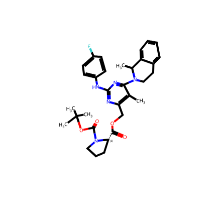 Cc1c(COC(=O)[C@@H]2CCCN2C(=O)OC(C)(C)C)nc(Nc2ccc(F)cc2)nc1N1CCc2ccccc2C1C